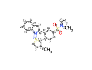 Cc1ccsc1-c1ccc(S(=O)(=O)N(C)C)cc1-c1cc2ccccc2[nH]1